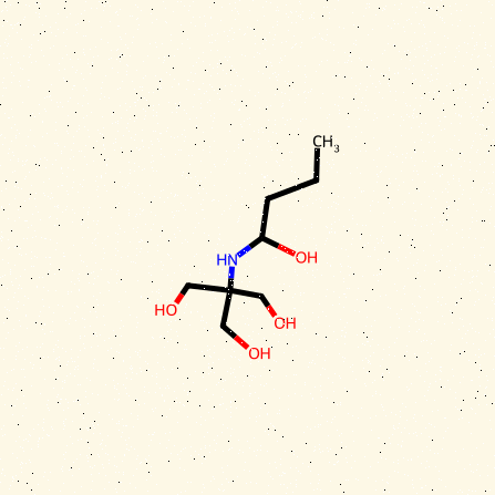 CCCC(O)NC(CO)(CO)CO